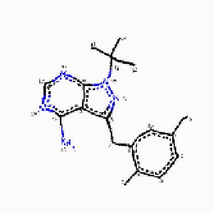 Cc1ccc(C)c(Cc2nn(C(C)(C)C)c3ncnc(N)c23)c1